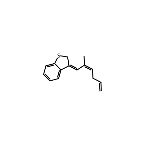 C=CC/C=C(C)\C=C1/CSc2ccccc21